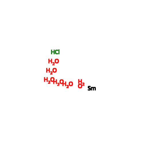 Cl.O.O.O.O.O.O.[Sm]